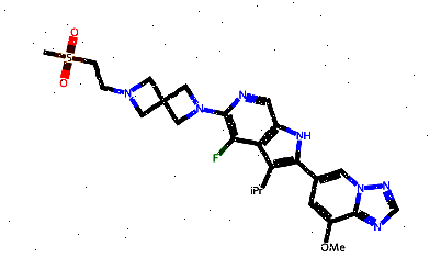 COc1cc(-c2[nH]c3cnc(N4CC5(CN(CCS(C)(=O)=O)C5)C4)c(F)c3c2C(C)C)cn2ncnc12